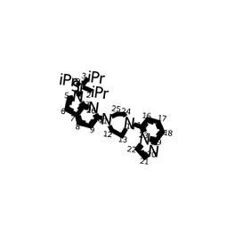 CC(C)[Si](C(C)C)(C(C)C)n1ccc2ccc(N3CCN(c4cccc5nccn45)CC3)nc21